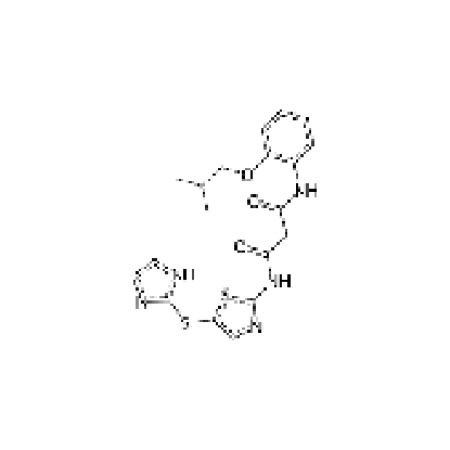 CC(C)COc1ccccc1NC(=O)CC(=O)Nc1ncc(Sc2ncc[nH]2)s1